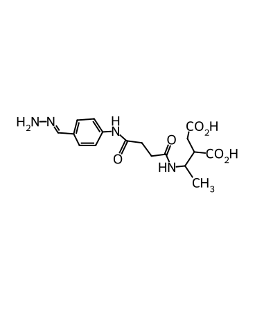 CC(NC(=O)CCC(=O)Nc1ccc(C=NN)cc1)C(CC(=O)O)C(=O)O